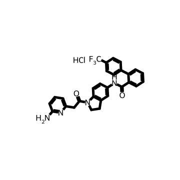 Cl.Nc1cccc(CC(=O)N2CCc3cc(NC(=O)c4ccccc4-c4ccc(C(F)(F)F)cc4)ccc32)n1